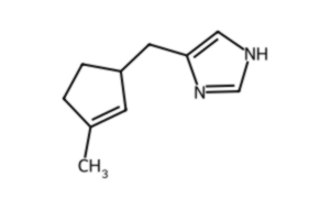 CC1=CC(Cc2c[nH]cn2)CC1